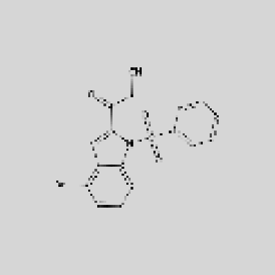 N#CCC(=O)c1cc2c(Br)cccc2n1S(=O)(=O)c1ccccc1